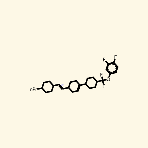 CCCC1CCC(/C=C/C2CC=C(C3CCC(C(F)(F)Oc4ccc(F)c(F)c4)CC3)CC2)CC1